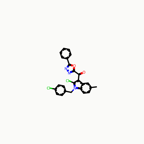 Cc1ccc2c(c1)c(C(=O)c1nnc(-c3ccccc3)o1)c(Cl)n2Cc1ccc(Cl)cc1